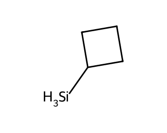 [SiH3]C1CCC1